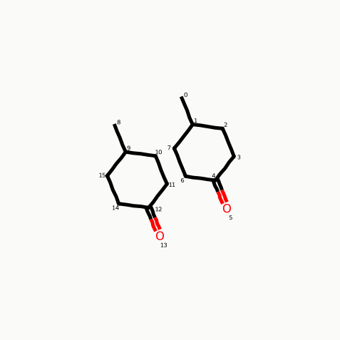 CC1CCC(=O)CC1.CC1CCC(=O)CC1